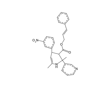 CC1=CC(c2cccc([N+](=O)[O-])c2)C(C(=O)OCC=Cc2ccccc2)C(C)(c2cccnc2)N1